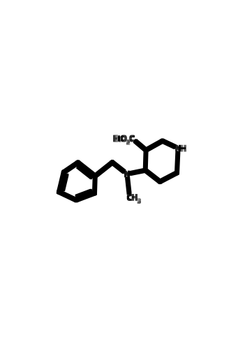 CCOC(=O)C1CNCCC1N(C)Cc1ccccc1